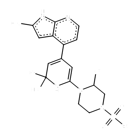 CCS(=O)(=O)N1CCN(C2=CC(c3ccnc4[nH]c(C)cc34)=CC(C)(O)N2)C(C(F)(F)F)C1